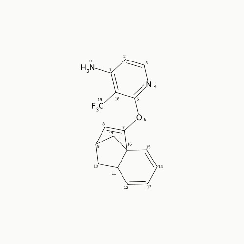 Nc1ccnc(OC2=CC3CC4C=CC=CC24C3)c1C(F)(F)F